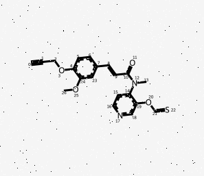 C#CCOc1ccc(/C=C/C(=O)N(C)c2ccncc2OC=S)cc1OC